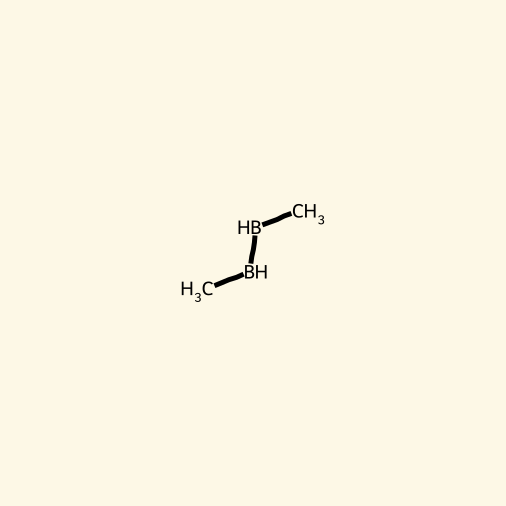 CBBC